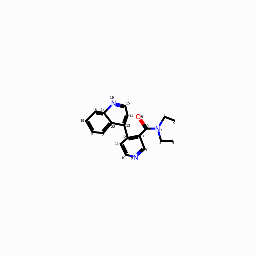 CCN(CC)C(=O)c1cnccc1-c1ccnc2ccccc12